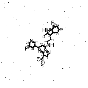 COC(=O)c1cnn2c(NCCc3c(C)[nH]c4c(F)cccc34)cc(-c3cncc(F)c3)nc12